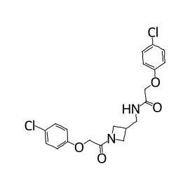 O=C(COc1ccc(Cl)cc1)NCC1CN(C(=O)COc2ccc(Cl)cc2)C1